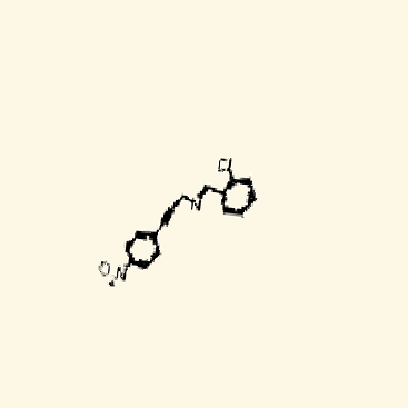 O=[N+]([O-])c1ccc(C#CCN=Cc2ccccc2Cl)cc1